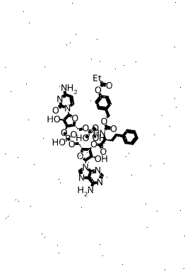 CCC(=O)Oc1ccc(COC(=O)N[C@@H](CCc2ccccc2)C(=O)O[C@H]2[C@@H](O)[C@H](n3cnc4c(N)ncnc43)O[C@@H]2COP(=O)(O)O[C@H]2[C@@H](O)[C@H](n3ccc(N)nc3=O)O[C@@H]2COP(=O)(O)O)cc1